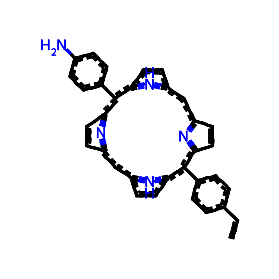 C=Cc1ccc(-c2c3nc(cc4ccc([nH]4)c(-c4ccc(N)cc4)c4nc(cc5ccc2[nH]5)C=C4)C=C3)cc1